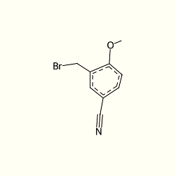 COc1ccc(C#N)cc1CBr